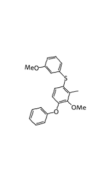 COc1cccc(Sc2ccc(Oc3ccccc3)c(OC)c2C)c1